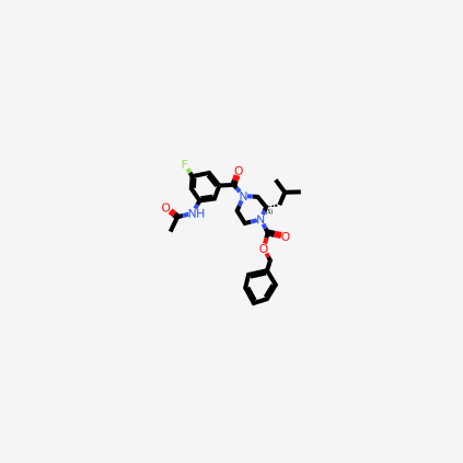 CC(=O)Nc1cc(F)cc(C(=O)N2CCN(C(=O)OCc3ccccc3)[C@@H](CC(C)C)C2)c1